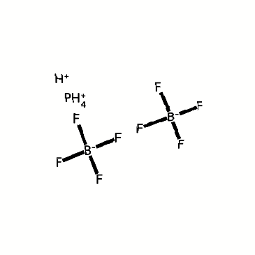 F[B-](F)(F)F.F[B-](F)(F)F.[H+].[PH4+]